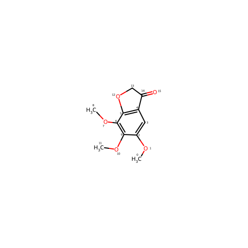 COc1cc2c(c(OC)c1OC)OCC2=O